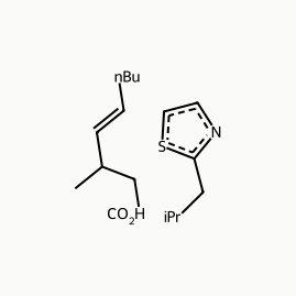 CC(C)Cc1nccs1.CCCCC=CC(C)CC(=O)O